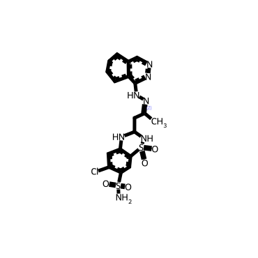 C/C(CC1Nc2cc(Cl)c(S(N)(=O)=O)cc2S(=O)(=O)N1)=N/Nc1nncc2ccccc12